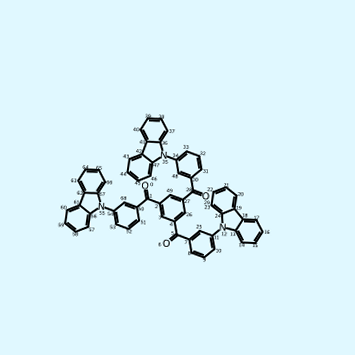 O=C(c1cc(C(=O)c2cccc(-n3c4ccccc4c4ccccc43)c2)cc(C(=O)c2cccc(-n3c4ccccc4c4ccccc43)c2)c1)c1cccc(-n2c3ccccc3c3ccccc32)c1